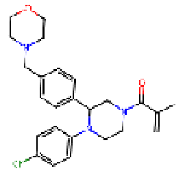 C=C(C)C(=O)N1CCN(c2ccc(Cl)cc2)C(c2ccc(CN3CCOCC3)cc2)C1